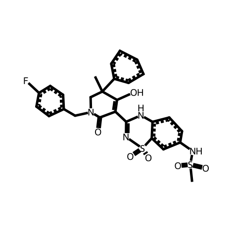 CC1(c2ccccc2)CN(Cc2ccc(F)cc2)C(=O)C(C2=NS(=O)(=O)c3cc(NS(C)(=O)=O)ccc3N2)=C1O